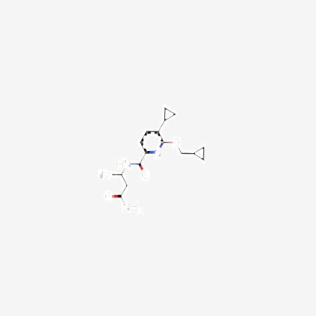 CC(C)C(CC(N)=O)NC(=O)c1ccc(C2CC2)c(OCC2CC2)n1